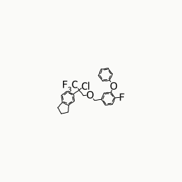 Fc1ccc(COCC(Cl)(c2ccc3c(c2)CCC3)C(F)(F)F)cc1Oc1ccccc1